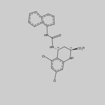 O=C(Nc1cccc2ccccc12)N[C@@H]1C[C@@H](C(=O)O)Nc2cc(Cl)cc(Cl)c21